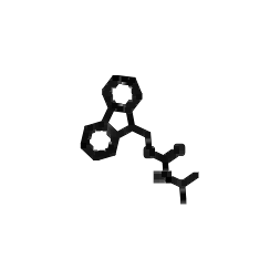 C[C](C)NC(=O)OCC1c2ccccc2-c2ccccc21